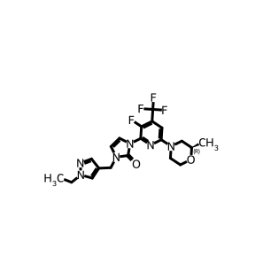 CCn1cc(Cn2ccn(-c3nc(N4CCO[C@H](C)C4)cc(C(F)(F)F)c3F)c2=O)cn1